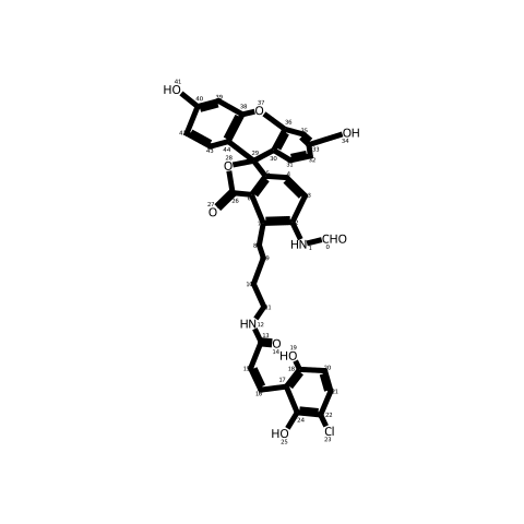 O=CNc1ccc2c(c1CCCCNC(=O)/C=C\c1c(O)ccc(Cl)c1O)C(=O)OC21c2ccc(O)cc2Oc2cc(O)ccc21